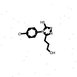 OCCCc1nnc(S)n1-c1ccc(Cl)cc1